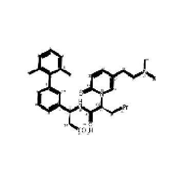 Cc1cccc(C)c1-c1cccc([C@H](CC(=O)O)NC(=O)[C@H](CC(C)C)n2cc(CCN(C)C)ccc2=O)c1